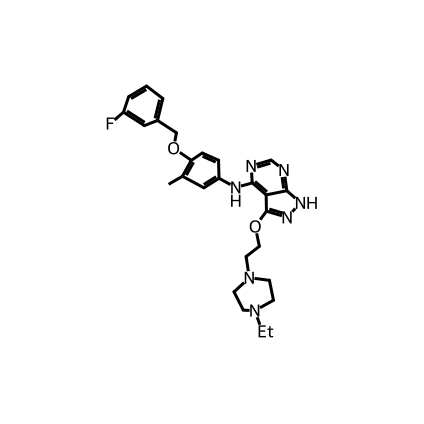 CCN1CCN(CCOc2n[nH]c3ncnc(Nc4ccc(OCc5cccc(F)c5)c(C)c4)c23)CC1